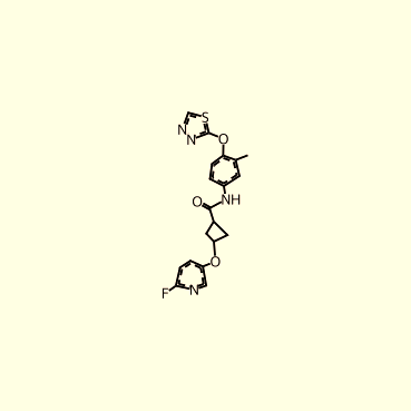 Cc1cc(NC(=O)C2CC(Oc3ccc(F)nc3)C2)ccc1Oc1nncs1